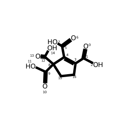 O=C(O)C1=C(C(=O)O)C(C(=O)O)(C(=O)O)CC1